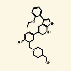 CCOc1ccccc1-c1c[nH]c2c1C=C(C1=CC=C(O)C(CN3CCC(CO)CC3)C1)CN2